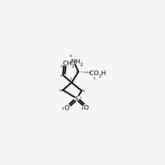 C=CC1([C@H](N)C(=O)O)CS(=O)(=O)C1